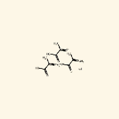 C=C(C)C(=O)O.C=C(C)C(=O)O.C=C(C)C(=O)O.[Nd]